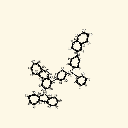 c1ccc(N(c2ccc(-c3ccc4ccccc4c3)cc2)c2ccc(-c3cc(-n4c5ccccc5c5ccccc54)cc4c3sc3ccccc34)cc2)cc1